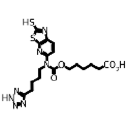 O=C(O)CCCCCOC(=O)N(CCCCc1nn[nH]n1)c1ccc2nc(S)sc2n1